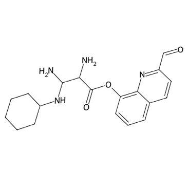 NC(NC1CCCCC1)C(N)C(=O)Oc1cccc2ccc(C=O)nc12